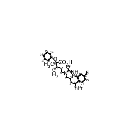 CCCC(CCCN(CCC(C)C(C)(Oc1ccccc1)C(=O)O)C(N)=O)c1ccc(F)cc1F